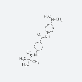 CN(C)c1ccc(NC(=O)C2CCC(N[S+]([O-])C(C)(C)C)CC2)cc1